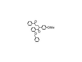 COc1ccc(C(CCC(=O)c2ccccc2)C(=O)c2ccccc2OCc2ccccc2)cc1